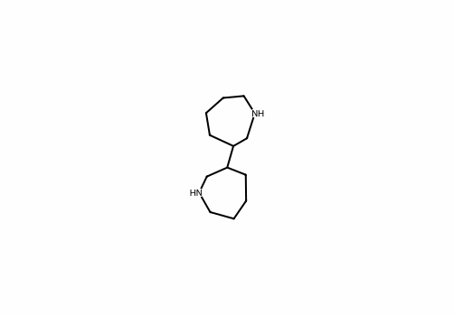 C1CCC(C2CCCCNC2)CNC1